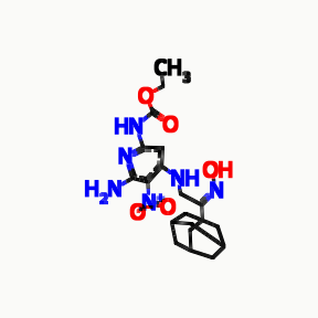 CCOC(=O)Nc1cc(NC/C(=N\O)C23CC4CC(CC(C4)C2)C3)c([N+](=O)[O-])c(N)n1